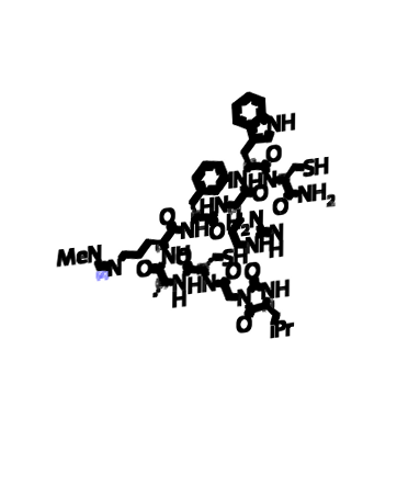 CN/C=N\CCC[C@H](NC(=O)[C@@H](C)NC(=O)[C@H](CS)NC(=O)CN1C(=O)N[C@@H](CC(C)C)C1=O)C(=O)N[C@H](Cc1ccccc1)C(=O)N[C@@H](CCCNC(=N)N)C(=O)N[C@@H](Cc1c[nH]c2ccccc12)C(=O)N[C@@H](CS)C(N)=O